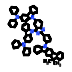 CC1(C)c2ccccc2-c2cc3c(cc21)c1ccccc1n3-c1cccc(-c2nc(-n3c4ccccc4c4cc(N(c5ccccc5)c5ccccc5)ccc43)c3cc(-n4c5ccccc5c5cc(N(c6ccccc6)c6ccccc6)ccc54)ccc3n2)c1